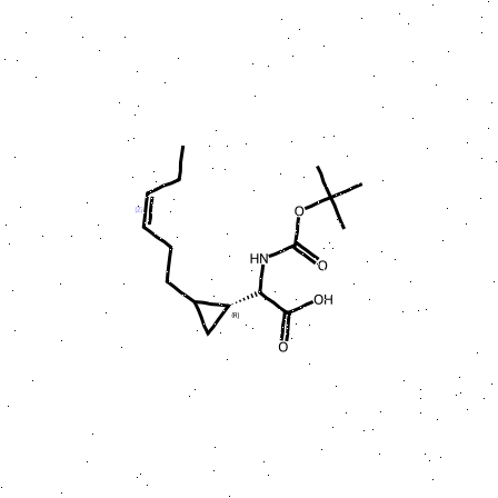 CC/C=C\CCC1C[C@H]1C(NC(=O)OC(C)(C)C)C(=O)O